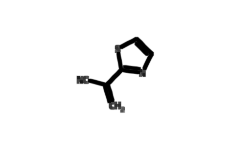 C=C(C#N)c1nccs1